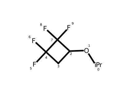 CC(C)OC1CC(F)(F)C1(F)F